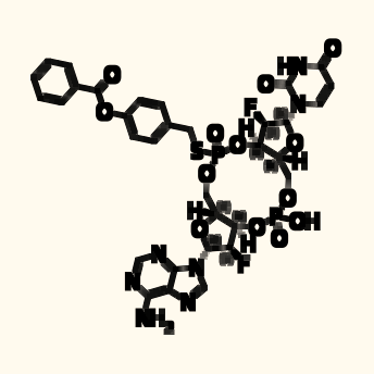 Nc1ncnc2c1ncn2[C@@H]1O[C@@H]2COP(=O)(SCc3ccc(OC(=O)c4ccccc4)cc3)O[C@H]3[C@@H](F)[C@H](n4ccc(=O)[nH]c4=O)O[C@@H]3COP(=O)(O)O[C@H]2[C@H]1F